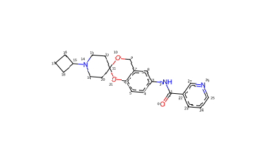 O=C(Nc1ccc2c(c1)COC1(CCN(C3CCC3)CC1)O2)c1cccnc1